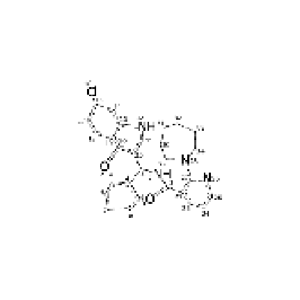 O=C(NC(c1ccccc1)c1c[nH]c2cc(Cl)ccc2c1=O)c1cccnc1N1CCCCCC1